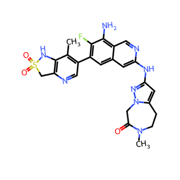 Cc1c(-c2cc3cc(Nc4cc5n(n4)CC(=O)N(C)CC5)ncc3c(N)c2F)cnc2c1NS(=O)(=O)C2